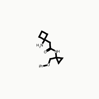 CC(C)OCC1(NC(=O)CC2(N)CCC2)CC1